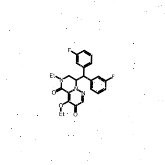 CCOc1c2n(ncc1=O)C(C(c1cccc(F)c1)c1cccc(F)c1)CN(CC)C2=O